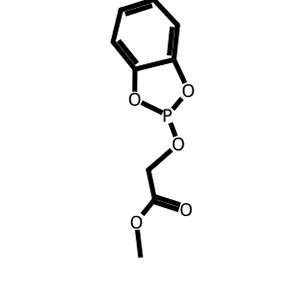 COC(=O)COP1Oc2ccccc2O1